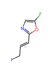 Fc1cnc(/C=C/CI)o1